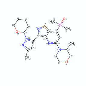 Cc1cc(-c2nsc3c(P(C)(C)=O)cc(N4CCOCC4C)nc23)n(C2CCCCO2)n1